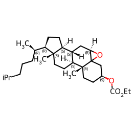 CCOC(=O)O[C@H]1CC[C@]2(C)[C@H]3CC[C@]4(C)[C@@H]([C@H](C)CCCC(C)C)CC[C@H]4[C@@H]3C[C@H]3OC32C1